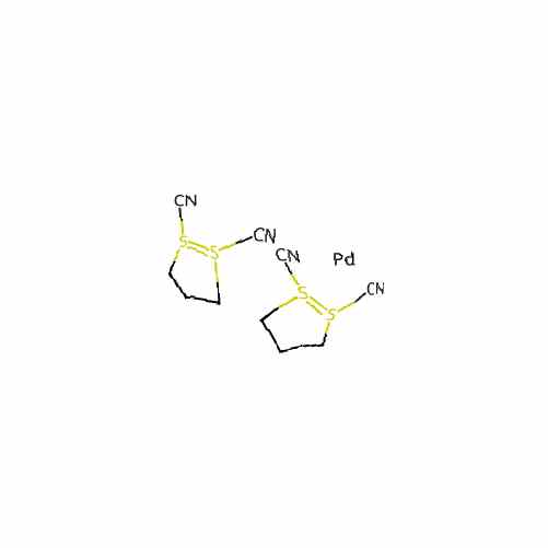 N#CS1=S(C#N)CCC1.N#CS1=S(C#N)CCC1.[Pd]